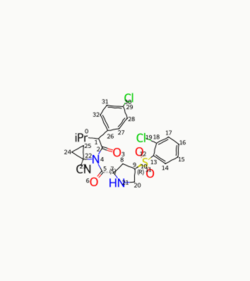 CC(C)C(C(=O)N(C(=O)[C@@H]1C[C@@H](S(=O)(=O)c2ccccc2Cl)CN1)C1(C#N)CC1)c1ccc(Cl)cc1